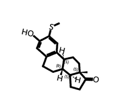 CSc1cc2c(cc1O)CC[C@@H]1[C@@H]2CC[C@]2(C)C(=O)CC[C@@H]12